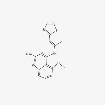 COc1cccc2nc(N)nc(NC(C)=Cc3nccs3)c12